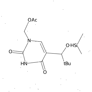 CC(=O)OCn1cc(C(O[SiH](C)C)C(C)(C)C)c(=O)[nH]c1=O